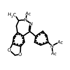 CC(=O)N(C(C)=O)c1ccc(C2=NN(C(C)=O)C(C)Cc3cc4c(cc32)OCO4)cc1